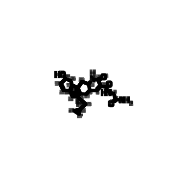 NC(=O)CNC(=O)C1=CC2C[C@H]3[C@H]4CC5=C(CC(O)C=C5)[C@@]3(CCN4CC3CC3)CC2NC1=O